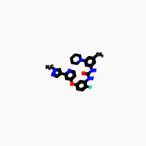 Cc1cc(NC(=O)Nc2cc(Oc3ccnc(-c4cnn(C)c4)c3)ccc2F)cc(N2CCCCC2)c1